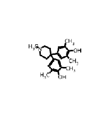 Cc1cc(C2(c3cc(C)c(O)c(C)c3)CCN(C)CC2)cc(C)c1O